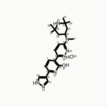 CN(c1ccc(-c2ccc(-c3cn[nH]c3)nc2O)nn1)C1CC(C)(C)NC(C)(C)C1.Cl